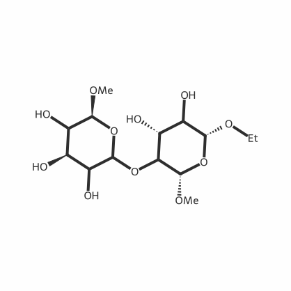 CCO[C@@H]1O[C@H](OC)C(OC2O[C@H](OC)C(O)[C@H](O)C2O)[C@H](O)C1O